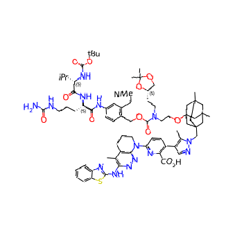 CNCc1cc(NC(=O)[C@H](CCCNC(N)=O)NC(=O)[C@@H](NC(=O)OC(C)(C)C)C(C)C)ccc1COC(=O)N(CCOC12CC3(C)CC(C)(CC(Cn4ncc(-c5ccc(N6CCCc7c6nnc(Nc6nc8ccccc8s6)c7C)nc5C(=O)O)c4C)(C3)C1)C2)CC[C@H]1COC(C)(C)O1